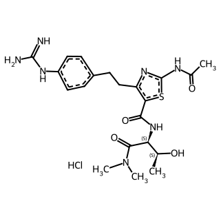 CC(=O)Nc1nc(CCc2ccc(NC(=N)N)cc2)c(C(=O)N[C@H](C(=O)N(C)C)[C@H](C)O)s1.Cl